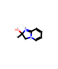 CC1(O)CN2C=CC=CC2=N1